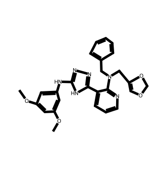 COc1cc(Nc2nnc(-c3cccnc3N(CC3=COCO3)Cc3ccccc3)[nH]2)cc(OC)c1